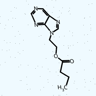 CCCC(=O)OCCn1cnc2cncnc21